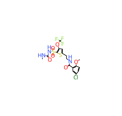 CNC(=O)NS(=O)(=O)c1sc(CCNC(=O)c2cc(Cl)ccc2OC)cc1OC(F)(F)F